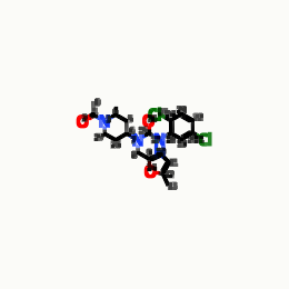 CC(=O)N1CCC(N(Cc2ccc(C)o2)C(=O)Nc2cc(Cl)ccc2Cl)CC1